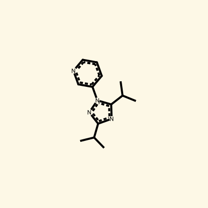 CC(C)c1nc(C(C)C)n(-c2cccnc2)n1